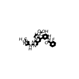 Cc1ccc(NC(=O)c2ccccc2F)cc1C1=Cc2cnc(Nc3cnn(C)c3)nc2N2CCN=C12.O=CO